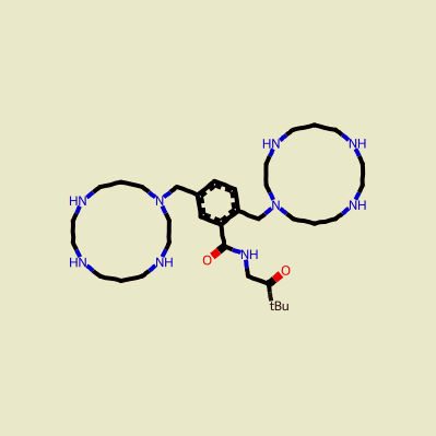 CC(C)(C)C(=O)CNC(=O)c1cc(CN2CCCNCCNCCCNCC2)ccc1CN1CCCNCCNCCCNCC1